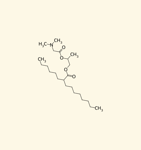 CCCCCCCCC(CCCCCC)C(=O)OCC(C)OC(=O)CN(C)C